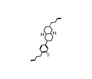 C=CCCc1ccc(C2CC[C@@H]3C[C@H](CCC=C)CC[C@@H]3C2)cc1F